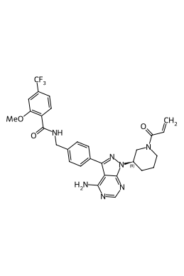 C=CC(=O)N1CCC[C@@H](n2nc(-c3ccc(CNC(=O)c4ccc(C(F)(F)F)cc4OC)cc3)c3c(N)ncnc32)C1